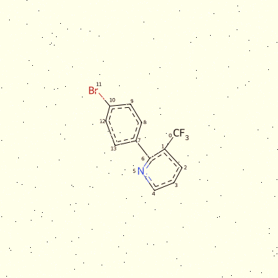 FC(F)(F)c1cccnc1-c1ccc(Br)cc1